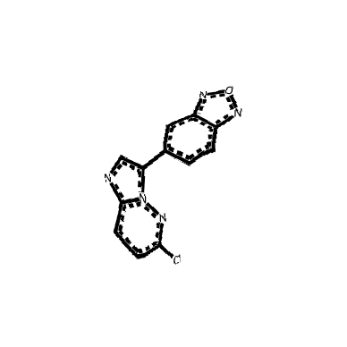 Clc1ccc2ncc(-c3ccc4nonc4c3)n2n1